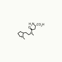 CN(CCC1CCCN1C)C(=O)C[C@H](N)C(=O)O